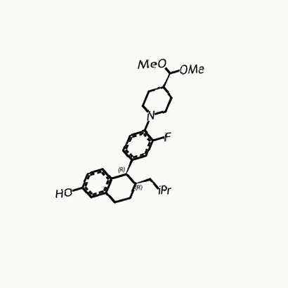 COC(OC)C1CCN(c2ccc([C@@H]3c4ccc(O)cc4CC[C@@H]3CC(C)C)cc2F)CC1